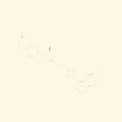 COc1ccc2nccc(N3CC(N(C)C[C@@H]4CN(c5ccc6ncc(=O)oc6n5)C(=O)O4)C3)c2n1